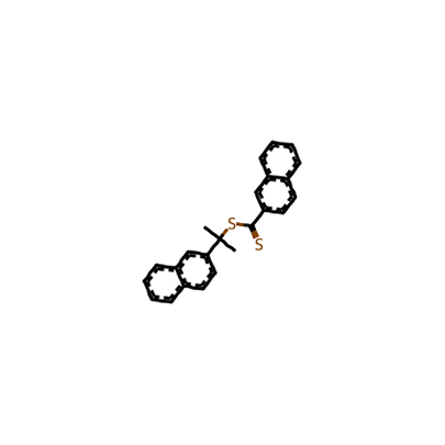 CC(C)(SC(=S)c1ccc2ccccc2c1)c1ccc2ccccc2c1